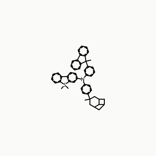 CC1(c2ccc(N(c3cccc(C4(C)c5ccccc5-c5ccccc54)c3)c3ccc4c(c3)S(C)(C)c3ccccc3-4)cc2)CC2CC3CC(C1)C32